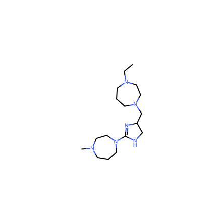 CCN1CCCN(CC2CNC(N3CCCN(C)CC3)=N2)CC1